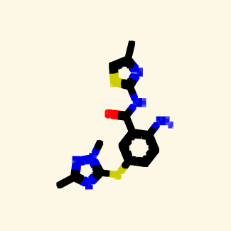 Cc1csc(NC(=O)c2cc(Sc3nc(C)nn3C)ccc2N)n1